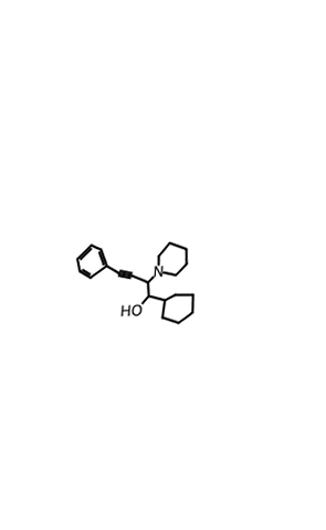 OC(C1CCCCC1)C(C#Cc1ccccc1)N1CCCCC1